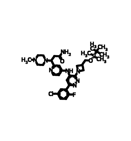 CN1CCN(C(CC(N)=O)c2cc(Nc3cc(-c4cc(Cl)ccc4F)nnc3N3CC(CO[Si](C)(C)C(C)(C)C)C3)ccn2)CC1